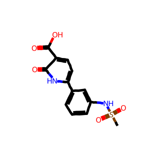 CS(=O)(=O)Nc1cccc(-c2ccc(C(=O)O)c(=O)[nH]2)c1